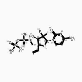 C=C[C@]1(COP(=O)(O)OP(=O)(O)O)O[C@@H](n2ccc(N)nc2=O)C(F)(F)[C@@H]1O